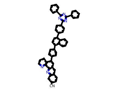 N#Cc1ccc2cc3cc(-c4ccc(-c5ccc(-c6ccc(-c7nc(-c8ccccc8)nc(-c8ccccc8)n7)cc6)c6ccccc56)cc4)c4cccnc4c3nc2c1